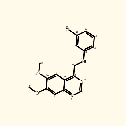 COc1cc2ncnc(CNc3cccc(Cl)c3)c2cc1OC